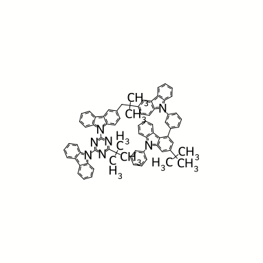 CC(C)(C)c1cc(-c2cccc(-n3c4ccccc4c4cc(C(C)(C)Cc5ccc6c(c5)c5ccccc5n6-c5nc(-n6c7ccccc7c7ccccc76)nc(C(C)(C)C)n5)ccc43)c2)c2c3ccccc3n(-c3ccccc3)c2c1